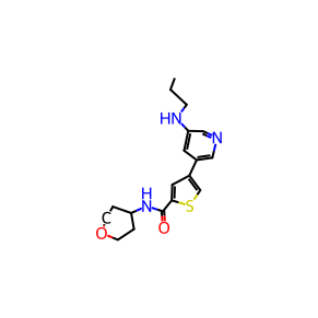 CCCNc1cncc(-c2csc(C(=O)NC3CCOCC3)c2)c1